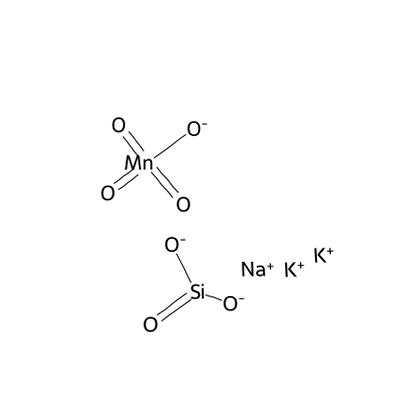 O=[Si]([O-])[O-].[K+].[K+].[Na+].[O]=[Mn](=[O])(=[O])[O-]